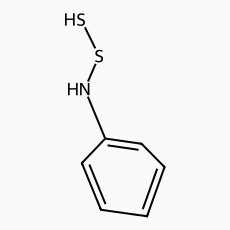 SSNc1ccccc1